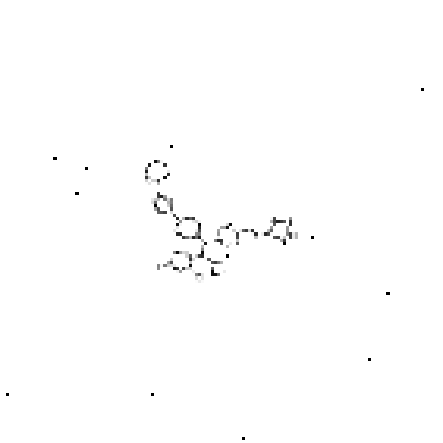 Fc1ccc(C(=C(c2ccc(C=Cc3nn[nH]n3)cc2)c2ccc(-c3cnn(C4CCCCO4)c3)cc2)C2CCC2)c(Cl)c1